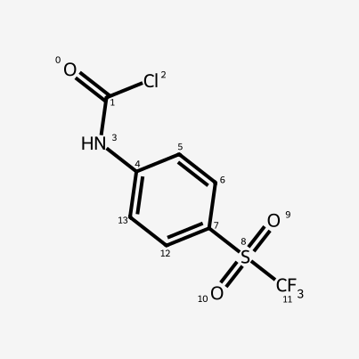 O=C(Cl)Nc1ccc(S(=O)(=O)C(F)(F)F)cc1